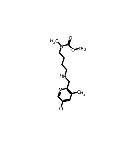 Cc1cc(Cl)cnc1CNCCCCN(C)C(=O)OC(C)(C)C